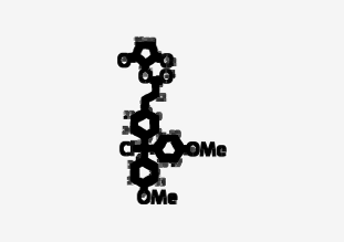 COc1ccc(C(Cl)(c2ccc(CCC(=O)OC3C(=O)CCC3=O)cc2)c2ccc(OC)cc2)cc1